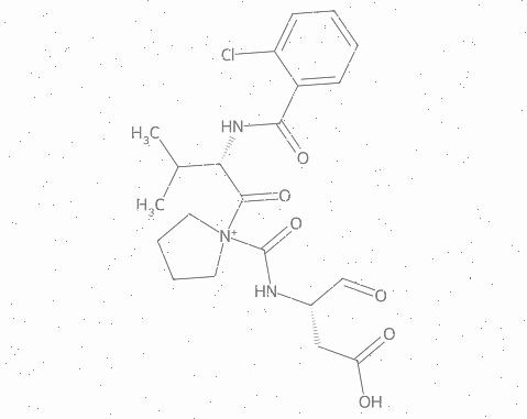 CC(C)[C@H](NC(=O)c1ccccc1Cl)C(=O)[N+]1(C(=O)N[C@H](C=O)CC(=O)O)CCCC1